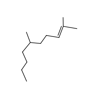 CCCCC(C)CCC=C(C)C